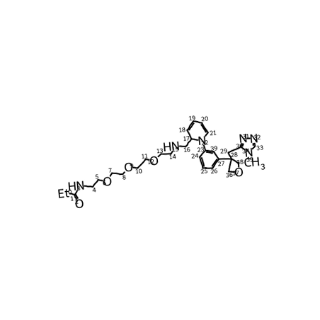 CCC(=O)NCCOCCOCCOCCNCC1C=CC=CN1c1cccc(C2(Cc3nncn3C)COC2)c1